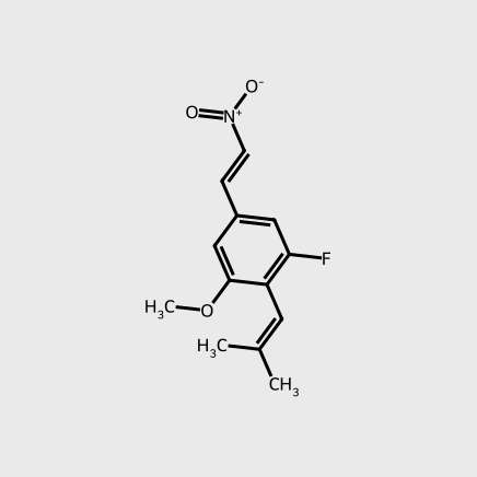 COc1cc(C=C[N+](=O)[O-])cc(F)c1C=C(C)C